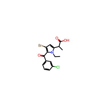 CCn1c(C(C)C(=O)O)cc(Br)c1C(=O)c1cccc(Cl)c1